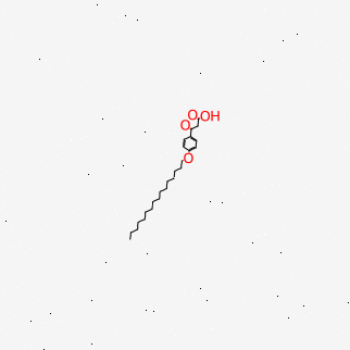 CCCCCCCCCCCCCCCCOc1ccc(C(=O)CC(=O)O)cc1